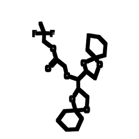 CC(F)(F)COC(=O)COC(C1COC2(CCCCC2)O1)C1COC2(CCCCC2)O1